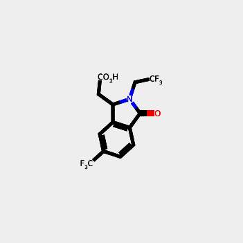 O=C(O)CC1c2cc(C(F)(F)F)ccc2C(=O)N1CC(F)(F)F